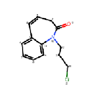 O=C1CC=Cc2ccccc2N1CCCCl